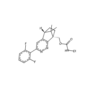 CCNC(=O)OC[C@]12CC[C@@H](c3cc(-c4c(F)cccc4F)nnc31)C2(C)C